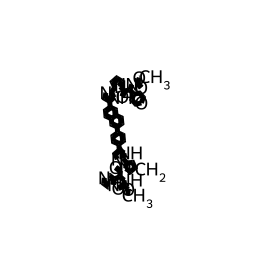 C=C1CC(c2ncc(-c3ccc(-c4ccc5cc(-c6cnc(C7CCCN7C(=O)C(NC(=O)OC)C7CCOCC7)[nH]6)ccc5c4)cc3)[nH]2)N(C(=O)C(NC(=O)OC)c2cnccn2)C1